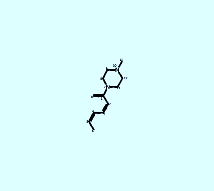 C=C(/C=C\C=C/C)N1CCN(C)CC1